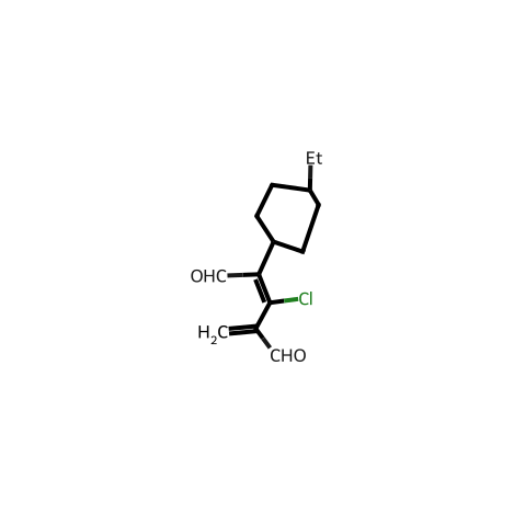 C=C(C=O)/C(Cl)=C(\C=O)C1CCC(CC)CC1